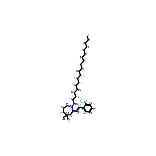 CCCCCCCCCCCCCCCCCCCCN1CCCC(C)(C)CC1/C=C/c1ccccc1Cl